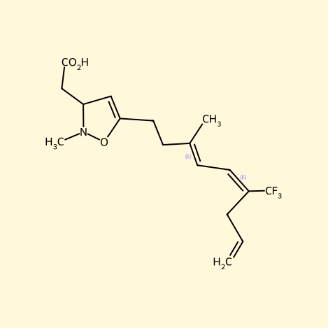 C=CC/C(=C\C=C(/C)CCC1=CC(CC(=O)O)N(C)O1)C(F)(F)F